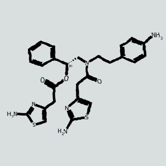 Nc1ccc(CCN(C[C@H](OC(=O)Cc2csc(N)n2)c2ccccc2)C(=O)Cc2csc(N)n2)cc1